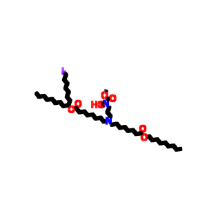 CCCCCCCCCOC(=O)CCCCCCCN(CCCCCCCC(=O)OC(CCCCCCCC)CCCCCCCI)CCCN(O)C(=O)OC